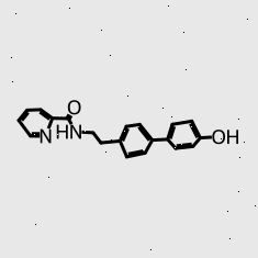 O=C(NCCc1ccc(-c2ccc(O)cc2)cc1)c1ccccn1